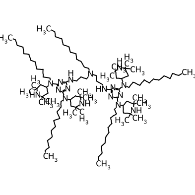 CCCCCCCCCCCCN(CCCNc1nc(N(CCCCCCCCCCCC)C2CC(C)(C)NC(C)(C)C2)nc(N(CCCCCCCCCCCC)C2CC(C)(C)NC(C)(C)C2)n1)CCCNc1nc(N(CCCCCCCCCCCC)C2CC(C)(C)NC(C)(C)C2)nc(N(CCCCCCCCCCCC)C2CC(C)(C)NC(C)(C)C2)n1